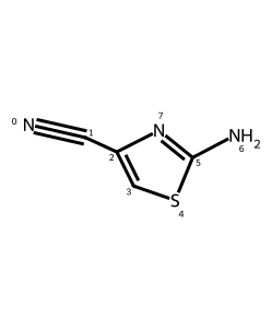 N#Cc1csc(N)n1